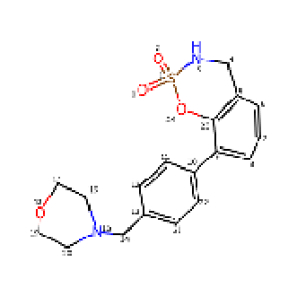 O=S1(=O)NCc2cccc(-c3ccc(CN4CCOCC4)cc3)c2O1